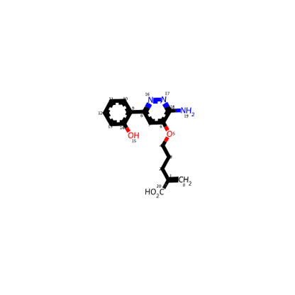 C=C(CCCOc1cc(-c2ccccc2O)nnc1N)C(=O)O